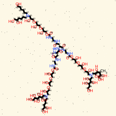 C[C@@H]([C@H](O)[C@@H](O)CN(CC(O)COCC(O)COCC(O)COC(=O)NCCNC(=O)[C@H](CC(=O)NCCNC(=O)OCC(O)COCC(O)COCC(O)CN(CCCCCCO)CCCC[C@H](O)CO)NC(=O)[C@@H](CC(=O)NCCNC(=O)OCC(O)COCC(O)COCC(O)CN(CCCC[C@H](O)CO)C[C@H](O)[C@@H](O)[C@H](O)[C@H](O)CO)NI)C[C@H](O)[C@@H](O)[C@H](O)CCO)[C@H](O)CO